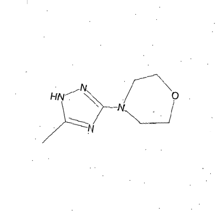 Cc1nc(N2CCOCC2)n[nH]1